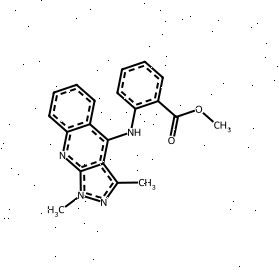 COC(=O)c1ccccc1Nc1c2ccccc2nc2c1c(C)nn2C